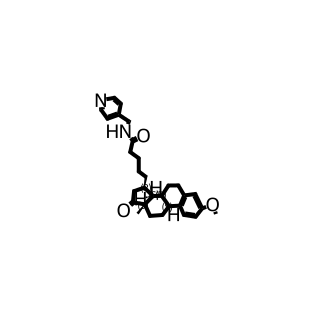 COc1ccc2c(c1)CC[C@H]1[C@@H]3[C@H](CCCCC(=O)NCc4ccncc4)CC(=O)[C@@]3(C)CC[C@H]21